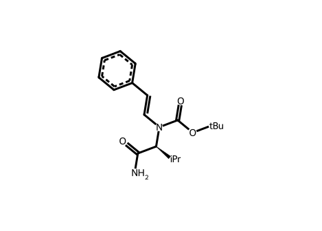 CC(C)[C@@H](C(N)=O)N(C=Cc1ccccc1)C(=O)OC(C)(C)C